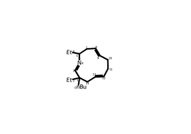 CCCCC1(CC)/C=N/C(CC)C/C=C/CC/C=C/C1